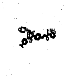 CC(C)c1ccc(NC(=O)C(c2ccc(/C=C/C(=O)Nc3ccccc3N)cc2)N(C)CCN2CCOCC2)cc1